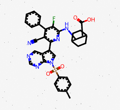 Cc1ccc(S(=O)(=O)n2cc(-c3nc(NC4C5CCC(CC5)C4C(=O)O)c(F)c(-c4ccccc4)c3C#N)c3cncnc32)cc1